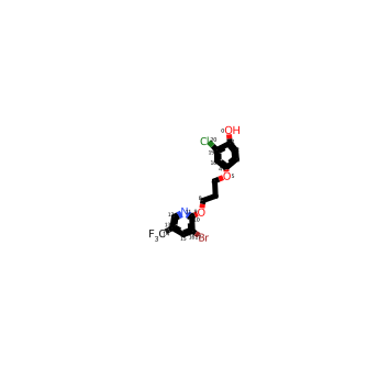 Oc1ccc(OCCCOc2ncc(C(F)(F)F)cc2Br)cc1Cl